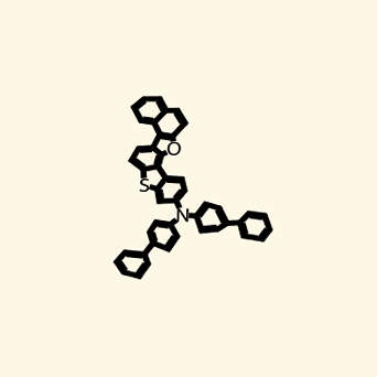 c1ccc(-c2ccc(N(c3ccc(-c4ccccc4)cc3)c3ccc4c(c3)sc3ccc5c(oc6ccc7ccccc7c65)c34)cc2)cc1